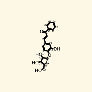 O=C(/C=C/c1ccc(OC2OC(CO)C(O)C2O)c(O)c1)c1ccccc1